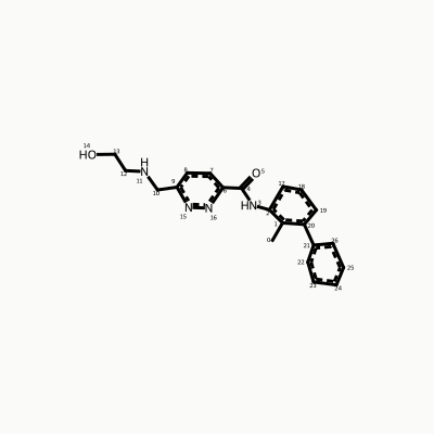 Cc1c(NC(=O)c2ccc(CNCCO)nn2)cccc1-c1ccccc1